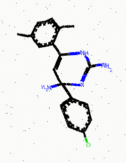 Cc1ccc(C)c(C2=CC(N)(c3ccc(Cl)cc3)N=C(N)N2)c1